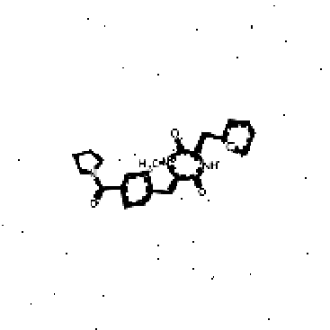 Cn1c(=O)/c(=C/c2ccccc2)[nH]c(=O)/c1=C/c1ccc(C(=O)N2CCCC2)cc1